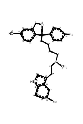 CN(CCCCC1(c2ccc(F)cc2)OCc2cc(C#N)ccc21)CCc1c[nH]c2ccc(I)cc12